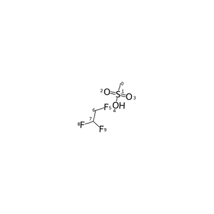 CS(=O)(=O)O.FCC(F)F